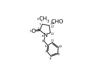 C[C@H]1C(=O)N(Cc2ccccc2)C[C@H]1C=O